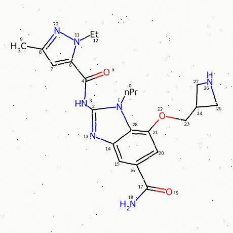 CCCn1c(NC(=O)c2cc(C)nn2CC)nc2cc(C(N)=O)cc(OCC3CNC3)c21